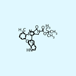 Cc1cccc(C)c1-n1nc2c(c1-c1ccc3[nH]ccc3c1)CN(C(=O)OC(C)(C)C)C2=O